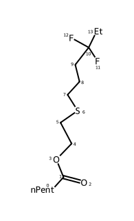 CCCCCC(=O)OCCSCCCC(F)(F)CC